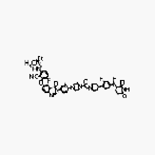 CCN(C)SNc1ccc(F)c(Oc2ccc3ncn(-c4ccc(N5CCN(C(=O)CN6CCC(c7ccc(NC8CCC(=O)NC8=O)cc7F)CC6)CC5)nc4)c(=O)c3c2)c1C#N